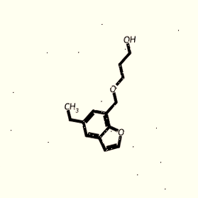 CCc1cc(COCCCO)c2occc2c1